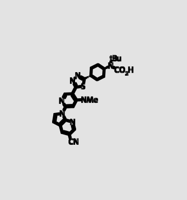 CNc1cc(-n2ccc3cc(C#N)cnc32)ncc1-c1nnc([C@H]2CC[C@H](N(C(=O)O)C(C)(C)C)CC2)s1